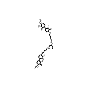 CCOc1ccc(-c2ccc(OCCCCOCC(CC)COCCCCOc3ccc(-c4ccc(OCC)c(F)c4F)c(F)c3F)c(F)c2F)c(F)c1F